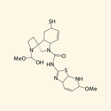 COC1C=CC2N=C(NC(=O)N3C[C@]4(CCN4C(O)OC)C4CC(S)C=CC43)SC2N1